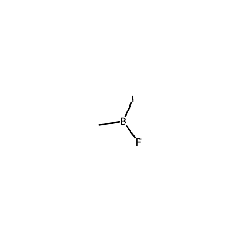 CB(F)I